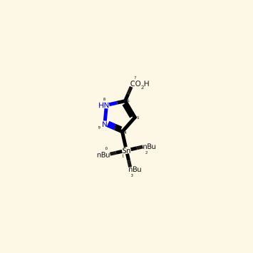 CCC[CH2][Sn]([CH2]CCC)([CH2]CCC)[c]1cc(C(=O)O)[nH]n1